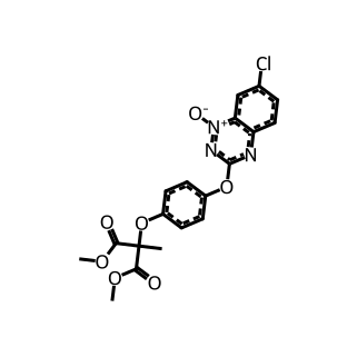 COC(=O)C(C)(Oc1ccc(Oc2nc3ccc(Cl)cc3[n+]([O-])n2)cc1)C(=O)OC